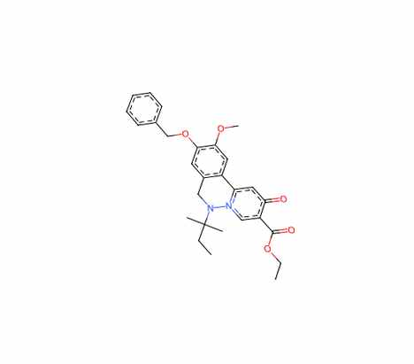 CCOC(=O)c1cn2c(cc1=O)-c1cc(OC)c(OCc3ccccc3)cc1CN2C(C)(C)CC